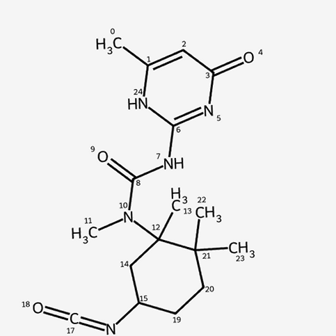 Cc1cc(=O)nc(NC(=O)N(C)C2(C)CC(N=C=O)CCC2(C)C)[nH]1